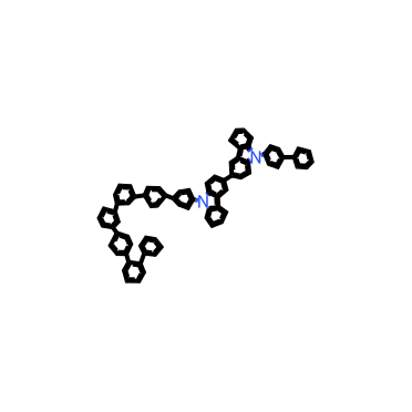 c1ccc(-c2ccc(-n3c4ccccc4c4cc(-c5ccc6c(c5)c5ccccc5n6-c5ccc(-c6ccc(-c7cccc(-c8cccc(-c9ccc(-c%10ccccc%10-c%10ccccc%10)cc9)c8)c7)cc6)cc5)ccc43)cc2)cc1